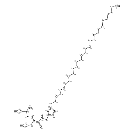 CC(C)(C)CCOCCOCCOCCOCCOCCOCCOCCOCCOCCn1cc(CNC(=O)C(CC(=O)O)SCC(N)C(=O)O)nn1